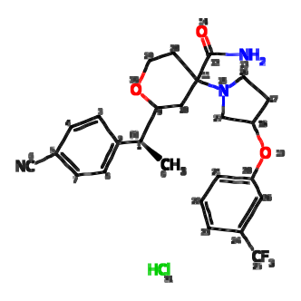 C[C@@H](c1ccc(C#N)cc1)C1CC(C(N)=O)(N2CCC(Oc3cccc(C(F)(F)F)c3)C2)CCO1.Cl